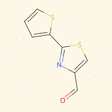 O=Cc1csc(-c2cccs2)n1